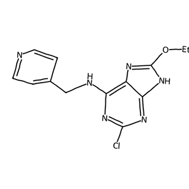 CCOc1nc2c(NCc3ccncc3)nc(Cl)nc2[nH]1